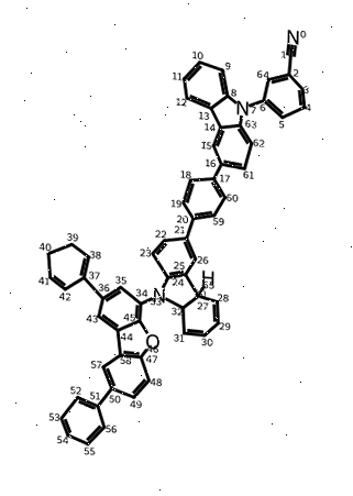 N#Cc1cccc(-n2c3ccccc3c3cc(-c4ccc(-c5ccc6c(c5)[C@@H]5C=CC=CC5N6c5cc(C6=CCCC=C6)cc6c5oc5ccc(-c7ccccc7)cc56)cc4)ccc32)c1